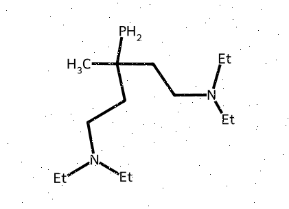 CCN(CC)CCC(C)(P)CCN(CC)CC